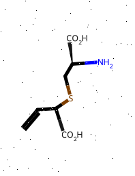 C=CC(SC[C@H](N)C(=O)O)C(=O)O